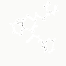 O=C(OCc1ccccc1)c1cc(OCc2ccccc2)cc2ccccc12